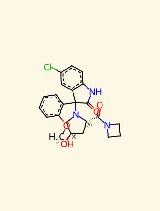 COc1ccccc1C1(N2C[C@H](O)C[C@H]2C(=O)N2CCC2)C(=O)Nc2ccc(Cl)cc21